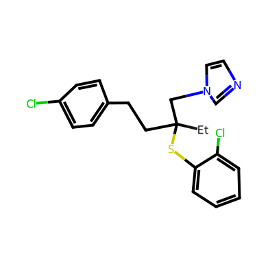 CCC(CCc1ccc(Cl)cc1)(Cn1ccnc1)Sc1ccccc1Cl